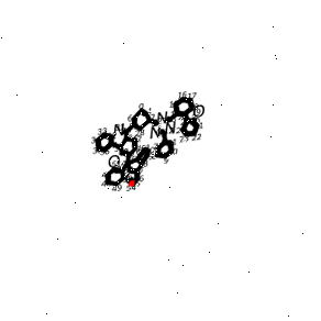 C1=CC(c2nc(-c3ccccc3)nc(-c3cccc4oc5ccccc5c34)n2)CC(C2=Nc3ccccc3C3C4=C(C=CC23)C2(C3=C(C=CCC3)O4)c3ccccc3-c3ccccc32)=C1